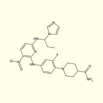 CCC(Nc1ccc([N+](=O)[O-])c(Nc2ccc(N3CCC(C(N)=O)CC3)c(F)c2)n1)n1ccnc1